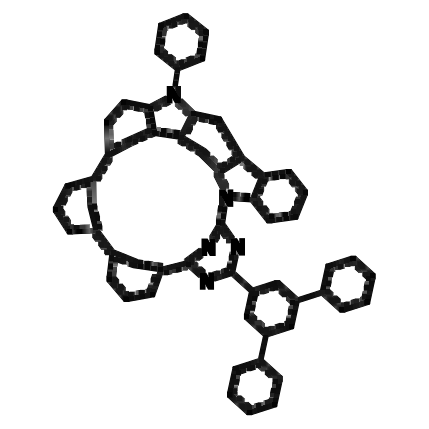 c1ccc(-c2cc(-c3ccccc3)cc(-c3nc4nc(n3)n3c5ccccc5c5cc6c(cc53)c3cc(ccc3n6-c3ccccc3)c3cccc(c3)c3cccc4c3)c2)cc1